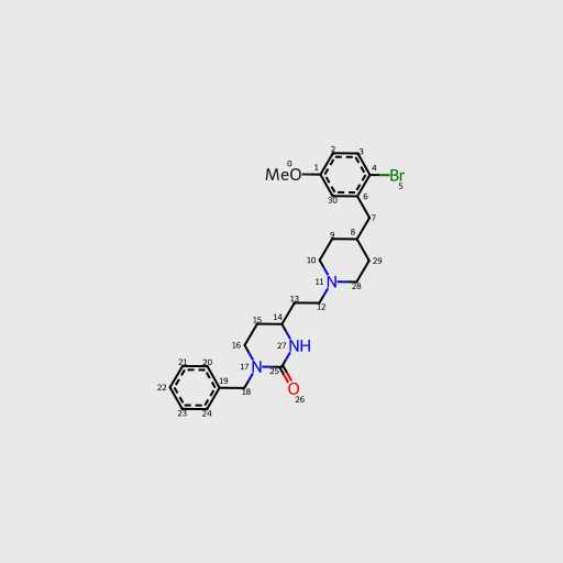 COc1ccc(Br)c(CC2CCN(CCC3CCN(Cc4ccccc4)C(=O)N3)CC2)c1